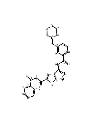 CN(NC(=O)c1cc2c(NC(=O)c3cccc(CN4CCOCC4)c3)n[nH]c2s1)c1ccccc1